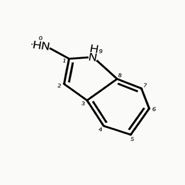 [NH]c1cc2ccccc2[nH]1